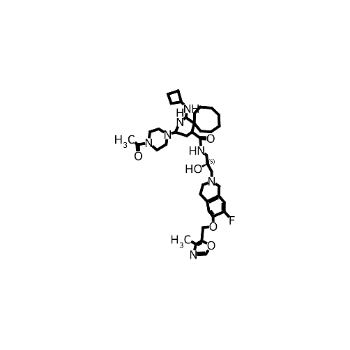 CC(=O)N1CCN(C2CC(C(=O)NC[C@H](O)CN3CCc4cc(OCc5ocnc5C)c(F)cc4C3)C3(CCCCCCC3)C(NC3CCC3)N2)CC1